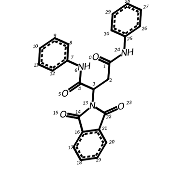 O=C(CC(C(=O)Nc1ccccc1)N1C(=O)c2ccccc2C1=O)Nc1ccccc1